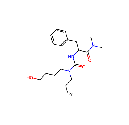 CC(C)CCN(CCCCO)C(=O)NC(Cc1ccccc1)C(=O)N(C)C